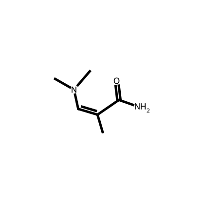 C/C(=C/N(C)C)C(N)=O